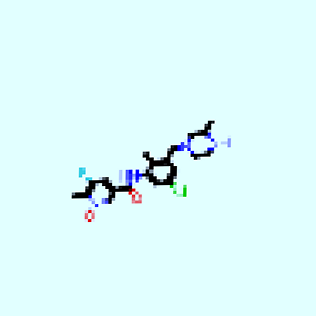 Cc1c(CN2CCNC(C)C2)cc(Cl)cc1NC(=O)c1cc(F)c(C)[n+]([O-])c1